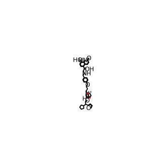 O=c1ccc2c([C@@H](O)CNCc3ccc(OCCC[N+]45CCC(CC4)[C@@H](OCC(c4ccco4)C4CCCC4)C5)cc3)ccc(O)c2[nH]1